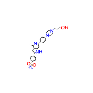 Cc1nc(-c2ccc(N3CCN(CCCO)CC3)cc2)cc2[nH]c(-c3ccc(S(=O)(=O)N(C)C)cc3)cc12